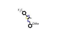 COc1ccccc1C=Nc1sc(-c2ccc(C(F)(F)F)cc2)nc1C